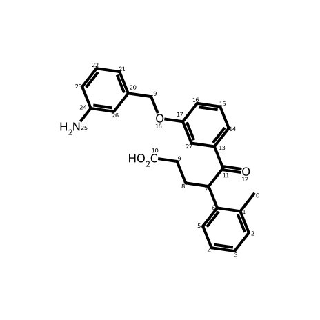 Cc1ccccc1C(CCC(=O)O)C(=O)c1cccc(OCc2cccc(N)c2)c1